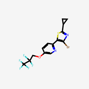 FC(F)(F)C(F)(F)COc1ccc(-c2sc(C3CC3)nc2Br)nc1